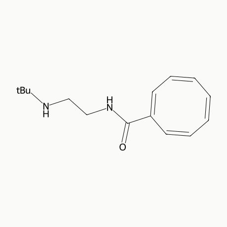 CC(C)(C)NCCNC(=O)C1=C/C=C\C=C/C=C\1